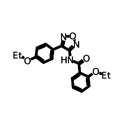 CCOc1ccc(-c2nonc2NC(=O)c2ccccc2OCC)cc1